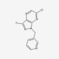 Fc1nn(Cc2cccnc2)c2nc(Cl)cnc12